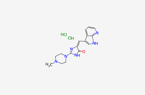 CN1CCN(C2=NC(=Cc3c[nH]c4ncccc34)C(=O)N2)CC1.Cl.Cl